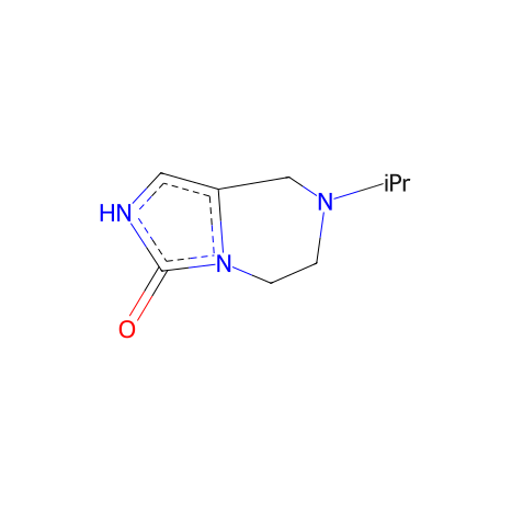 CC(C)N1CCn2c(c[nH]c2=O)C1